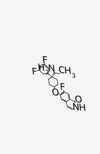 CCC(N)[C@]1(C2C=C(F)C=C(F)C2)CC[C@H](Oc2cc3cc[nH]c(=O)c3cc2F)CC1